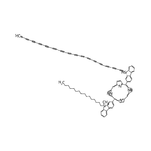 C#CC#CC#CC#CC#CC#CC#CC#CC#CC#CC#CC#CC#CC#CC#CC#C[SiH]1c2ccccc2-c2ccc(-c3c4nc(cc5ccc([nH]5)c(-c5ccc6c(c5)[Si](C)(CCCCCCCCCCCCCCCC)c5ccccc5-6)c5nc(cc6ccc3[nH]6)C=C5)C=C4)cc21